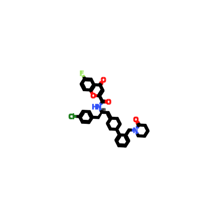 O=C(N[C@@H](C=C1CCC(c2ccccc2CN2CCCCC2=O)CC1)Cc1ccc(Cl)cc1)c1cc(=O)c2cc(F)ccc2o1